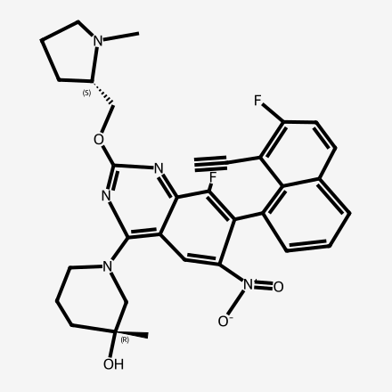 C#Cc1c(F)ccc2cccc(-c3c([N+](=O)[O-])cc4c(N5CCC[C@@](C)(O)C5)nc(OC[C@@H]5CCCN5C)nc4c3F)c12